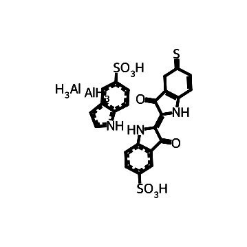 O=C1C2=C(C=CC(=S)C2)N/C1=C1/Nc2ccc(S(=O)(=O)O)cc2C1=O.O=S(=O)(O)c1ccc2[nH]ccc2c1.[AlH3].[AlH3]